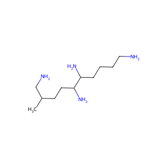 CC(CN)CCC(N)C(N)CCCCN